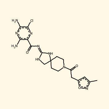 Cc1cc(CC(=O)N2CCC3(CC2)CN/C(=N\C(=O)c2nc(Cl)c(N)nc2N)N3)on1